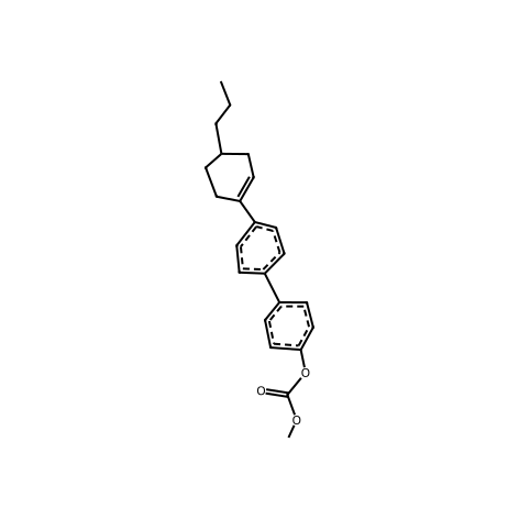 CCCC1CC=C(c2ccc(-c3ccc(OC(=O)OC)cc3)cc2)CC1